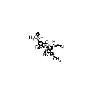 CO[C@H]1C[C@](c2cc(NCCC#N)nc(N3Cc4c(cc(CNC5(C)CCC5)cc4C(F)(F)F)C3=O)c2)(c2nncn2C)C1